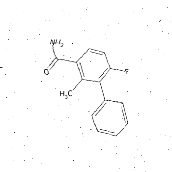 Cc1c(C(N)=O)ccc(F)c1-c1ccccc1